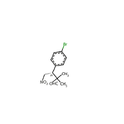 CC(C)(C=O)[C@H](C[N+](=O)[O-])c1ccc(Br)cc1